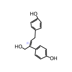 OC/C(=C/Cc1ccc(O)cc1)c1ccc(O)cc1